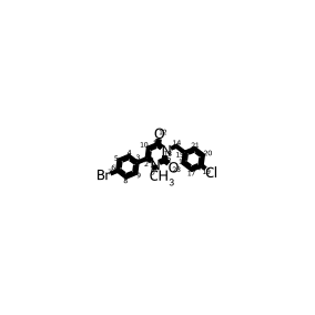 Cn1c(-c2ccc(Br)cc2)cc(=O)n(Cc2ccc(Cl)cc2)c1=O